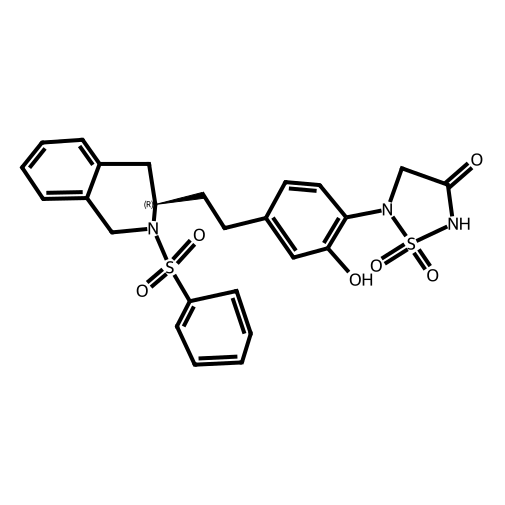 O=C1CN(c2ccc(CC[C@@H]3Cc4ccccc4CN3S(=O)(=O)c3ccccc3)cc2O)S(=O)(=O)N1